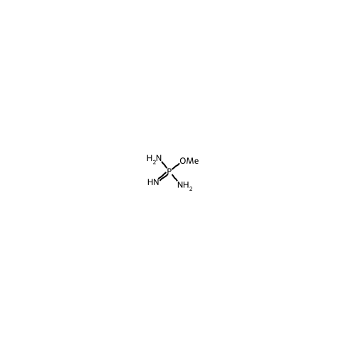 COP(=N)(N)N